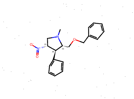 CN1C[C@@H]([N+](=O)[O-])[C@H](c2ccccc2)[C@H]1COCc1ccccc1